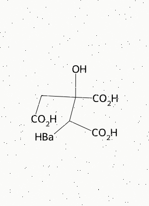 O=C(O)CC(O)(C(=O)O)[CH]([BaH])C(=O)O